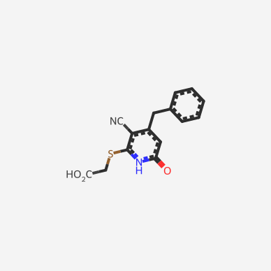 N#Cc1c(Cc2ccccc2)cc(=O)[nH]c1SCC(=O)O